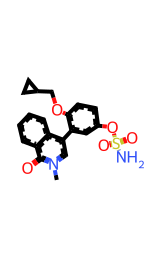 Cn1cc(-c2cc(OS(N)(=O)=O)ccc2OCC2CC2)c2ccccc2c1=O